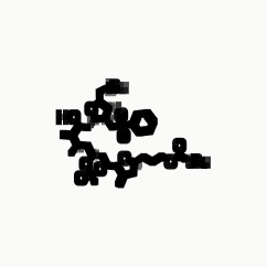 C=C1C[C@H](CCCOC(=O)C(C)(C)C)OC1CC[C@H](C[C@@H](C)C(=C)C(O)C[C@@H]1OC(C[C@H](C)CC)[C@H](C)[C@H]1CS(=O)(=O)c1ccccc1)OS(C)(=O)=O